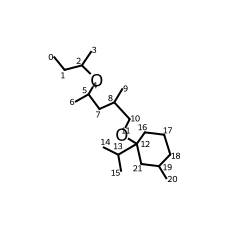 CCC(C)OC(C)CC(C)COC1(C(C)C)CCCC(C)C1